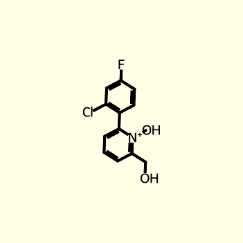 OCc1cccc(-c2ccc(F)cc2Cl)[n+]1O